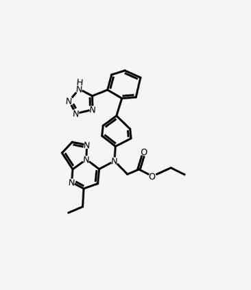 CCOC(=O)CN(c1ccc(-c2ccccc2-c2nnn[nH]2)cc1)c1cc(CC)nc2ccnn12